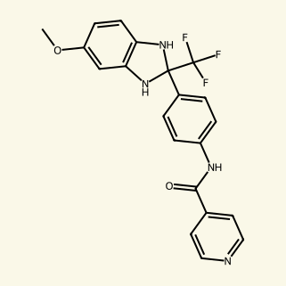 COc1ccc2c(c1)NC(c1ccc(NC(=O)c3ccncc3)cc1)(C(F)(F)F)N2